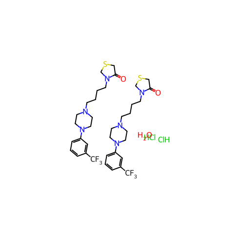 Cl.Cl.O.O=C1CSCN1CCCCN1CCN(c2cccc(C(F)(F)F)c2)CC1.O=C1CSCN1CCCCN1CCN(c2cccc(C(F)(F)F)c2)CC1